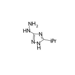 CC(C)c1nc(NN)n[nH]1